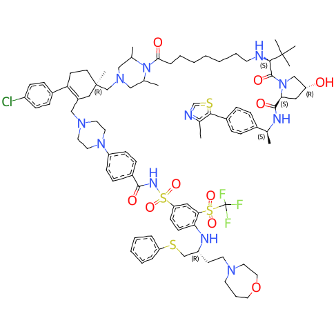 Cc1ncsc1-c1ccc([C@H](C)NC(=O)[C@@H]2C[C@@H](O)CN2C(=O)[C@@H](NCCCCCCCC(=O)N2C(C)CN(C[C@]3(C)CCC(c4ccc(Cl)cc4)=C(CN4CCN(c5ccc(C(=O)NS(=O)(=O)c6ccc(N[C@H](CCN7CCCOCC7)CSc7ccccc7)c(S(=O)(=O)C(F)(F)F)c6)cc5)CC4)C3)CC2C)C(C)(C)C)cc1